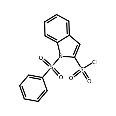 O=S(=O)(Cl)c1cc2ccccc2n1S(=O)(=O)c1ccccc1